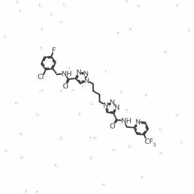 O=C(NCc1cc(C(F)(F)F)ccn1)c1cn(CCCCn2cc(C(=O)NCc3cc(F)ccc3Cl)nn2)nn1